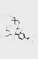 C=C(C)c1ccc2c(N[C@H](CC(=O)NC)CC(C)C)nc(N3CCC4(CN(C(=O)O)C4)C3)nc2c1